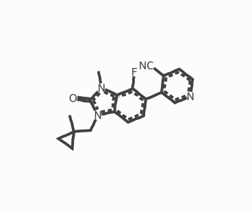 Cn1c(=O)n(CC2(C)CC2)c2ccc(-c3cnccc3C#N)c(F)c21